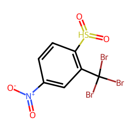 O=[N+]([O-])c1ccc([SH](=O)=O)c(C(Br)(Br)Br)c1